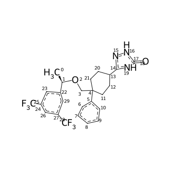 C[C@@H](OCC1(c2ccccc2)CCC(c2n[nH]c(=O)[nH]2)CC1)c1cc(C(F)(F)F)cc(C(F)(F)F)c1